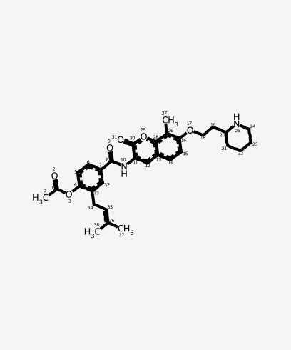 CC(=O)Oc1ccc(C(=O)Nc2cc3ccc(OCCC4CCCCN4)c(C)c3oc2=O)cc1CC=C(C)C